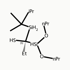 CCCO[SiH](OCCC)[C@](S)(CC)[SiH2]C(C)(C)C(C)C